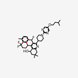 Cc1ccc(C(F)c2c(C3CCN(c4ncc(OCCC(C)C)cn4)CC3)nc3c(c2C2CCC(F)(F)CC2)C(O)CC(C)(C)C3)cc1